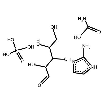 NC(=O)O.Nc1ncc[nH]1.O=CC(O)C(O)C(O)CO.O=P(O)(O)O